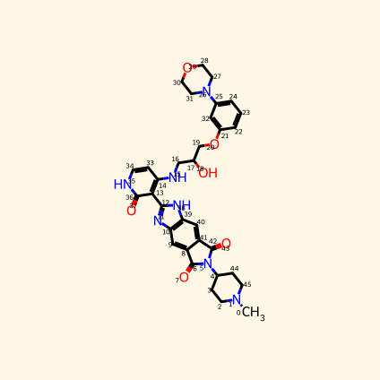 CN1CCC(N2C(=O)c3cc4nc(-c5c(NCC(O)COc6cccc(N7CCOCC7)c6)cc[nH]c5=O)[nH]c4cc3C2=O)CC1